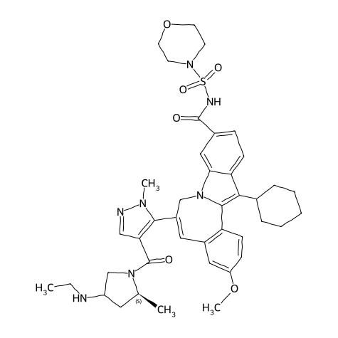 CCNC1C[C@H](C)N(C(=O)c2cnn(C)c2C2=Cc3cc(OC)ccc3-c3c(C4CCCCC4)c4ccc(C(=O)NS(=O)(=O)N5CCOCC5)cc4n3C2)C1